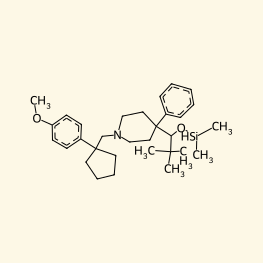 COc1ccc(C2(CN3CCC(c4ccccc4)(C(O[SiH](C)C)C(C)(C)C)CC3)CCCC2)cc1